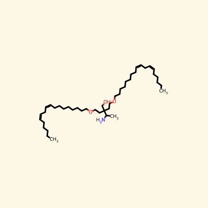 CCCCC/C=C\C/C=C\CCCCCCCCOCCC(CO)(CCOCCCCCCCC/C=C\C/C=C\CCCCC)C(C)N